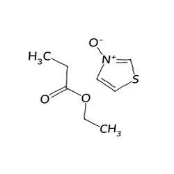 CCOC(=O)CC.[O-][n+]1ccsc1